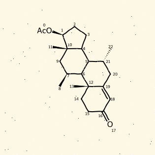 CC(=O)O[C@H]1CCC2C3C([C@@H](C)C[C@@]21C)[C@@]1(C)CCC(=O)C=C1C[C@H]3C